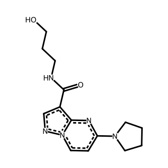 O=C(NCCCO)c1cnn2ccc(N3CCCC3)nc12